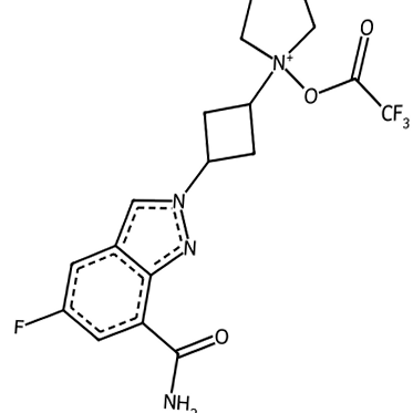 NC(=O)c1cc(F)cc2cn(C3CC([N+]4(OC(=O)C(F)(F)F)CCCC4)C3)nc12